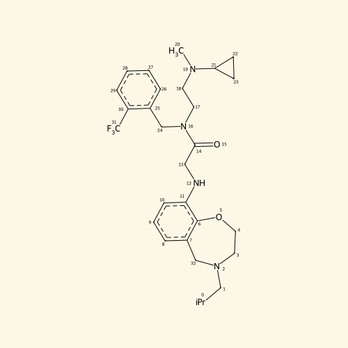 CC(C)CN1CCOc2c(cccc2NCC(=O)N(CCN(C)C2CC2)Cc2ccccc2C(F)(F)F)C1